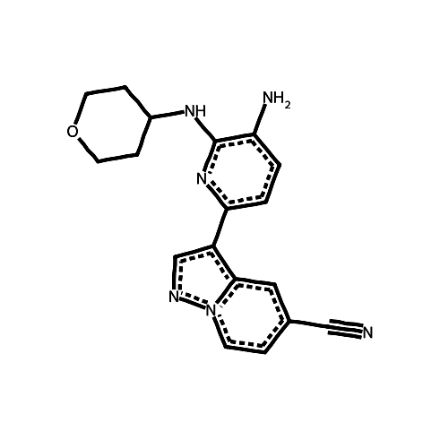 N#Cc1ccn2ncc(-c3ccc(N)c(NC4CCOCC4)n3)c2c1